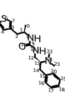 C[C@H](Cc1ccsc1)NC(=O)NC[C@H](Cc1ccccc1)N(C)C